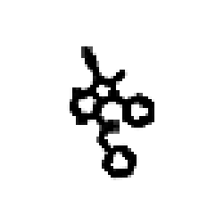 Cc1c(C#N)c2ncnc(NCc3ccccc3)c2n1-c1ccccc1